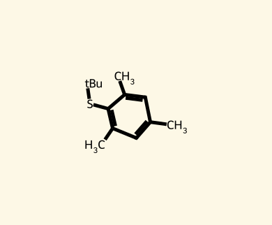 Cc1cc(C)c(SC(C)(C)C)c(C)c1